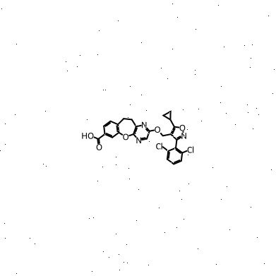 O=C(O)c1ccc2c(c1)Oc1ncc(OCc3c(-c4c(Cl)cccc4Cl)noc3C3CC3)nc1CC2